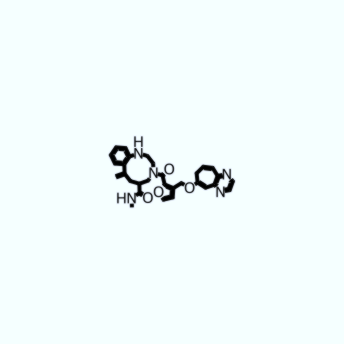 C=C1CC(C(=O)NC)CN(C(=O)c2occc2COC2=Cc3nccnc3C=CC2)CCNc2ccccc21